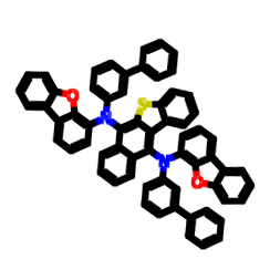 c1ccc(-c2cccc(N(c3cccc4c3oc3ccccc34)c3c4ccccc4c(N(c4cccc(-c5ccccc5)c4)c4cccc5c4oc4ccccc45)c4c3sc3ccccc34)c2)cc1